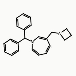 C1=CC(CN2CCC2)=CN(C(c2ccccc2)c2ccccc2)C=C1